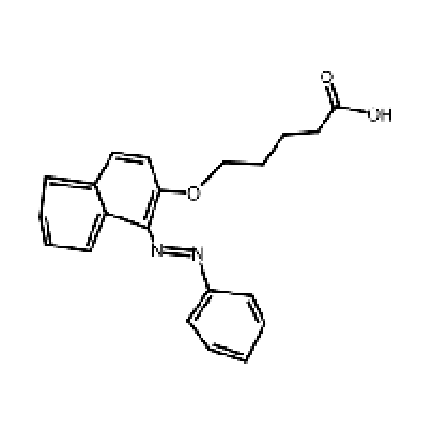 O=C(O)CCCCOc1ccc2ccccc2c1N=Nc1ccccc1